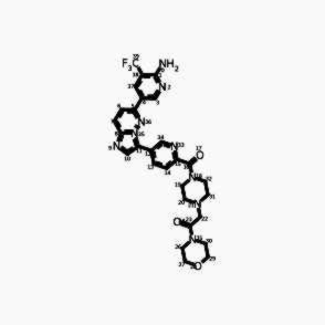 Nc1ncc(-c2ccc3ncc(-c4ccc(C(=O)N5CCN(CC(=O)N6CCOCC6)CC5)nc4)n3n2)cc1C(F)(F)F